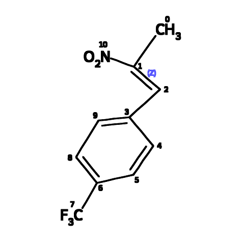 C/C(=C/c1ccc(C(F)(F)F)cc1)[N+](=O)[O-]